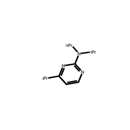 CCCN(CCC)c1nccc(C(C)C)n1